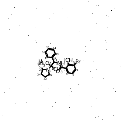 Cc1c(Br)cccc1C(=O)NC(c1ccccc1)C(C)(C)N1CCCC1C